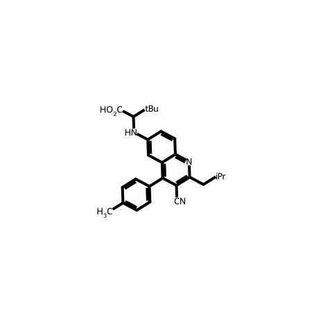 Cc1ccc(-c2c(C#N)c(CC(C)C)nc3ccc(NC(C(=O)O)C(C)(C)C)cc23)cc1